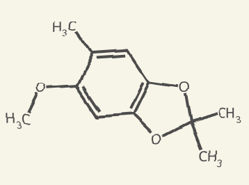 COc1cc2c(cc1C)OC(C)(C)O2